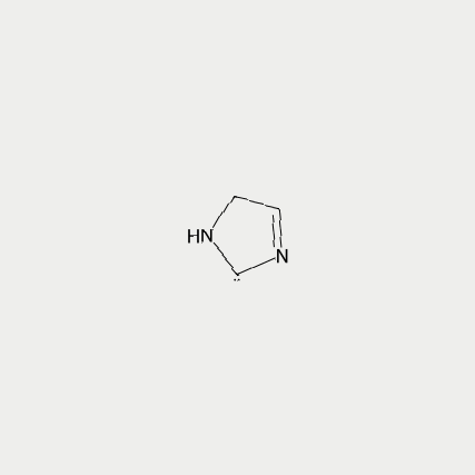 [C]1N=CCN1